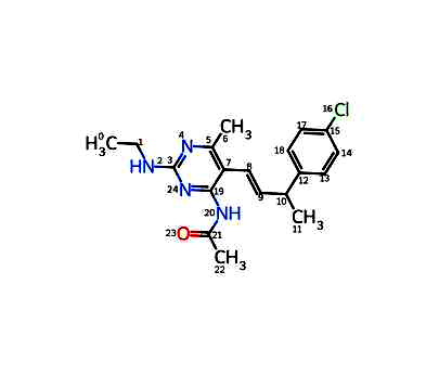 CCNc1nc(C)c(/C=C/C(C)c2ccc(Cl)cc2)c(NC(C)=O)n1